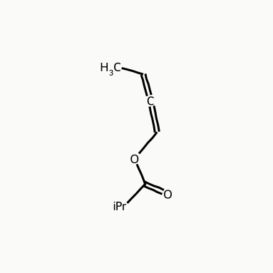 CC=C=COC(=O)C(C)C